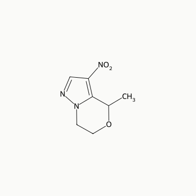 CC1OCCn2ncc([N+](=O)[O-])c21